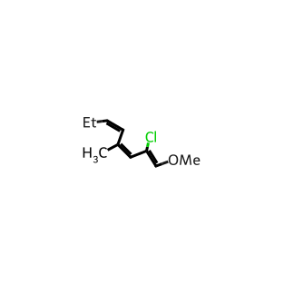 CC\C=C/C(C)=C\C(Cl)=C\OC